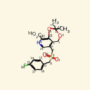 CC1(C)OCc2c(CS(=O)(=O)Cc3ccc(F)cc3)cnc(C(=O)O)c2O1